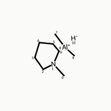 CN1CCCCC1.[CH3][Al+][CH3].[H-]